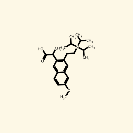 COc1ccc2cc(C(C)C(=O)O)c(CC[Si](C(C)C)(C(C)C)C(C)C)cc2c1